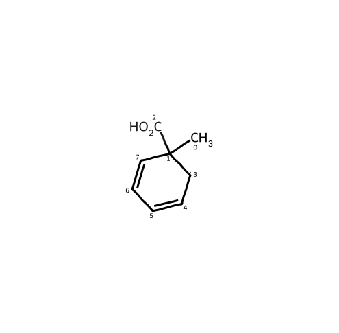 CC1(C(=O)O)[CH]C=CC=C1